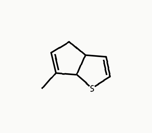 CC1=CCC2C=CSC12